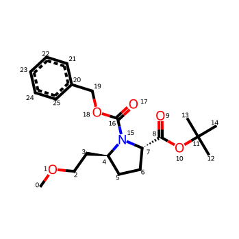 COCC[C@@H]1CC[C@@H](C(=O)OC(C)(C)C)N1C(=O)OCc1ccccc1